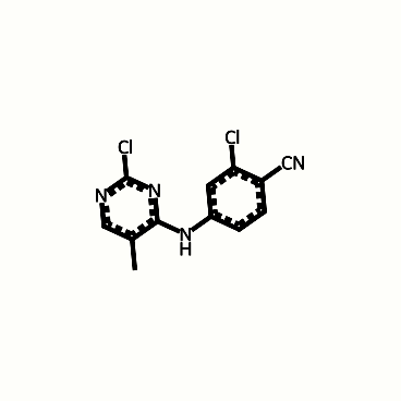 Cc1cnc(Cl)nc1Nc1ccc(C#N)c(Cl)c1